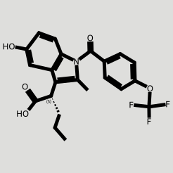 CCC[C@H](C(=O)O)c1c(C)n(C(=O)c2ccc(OC(F)(F)F)cc2)c2ccc(O)cc12